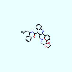 CCC(NC(=O)c1c(CN2CCC3(CC2)OCCO3)c(-c2ccccc2)nc2ccccc12)c1ccccc1